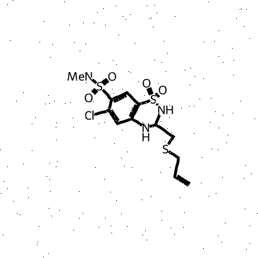 C=CCSCC1Nc2cc(Cl)c(S(=O)(=O)NC)cc2S(=O)(=O)N1